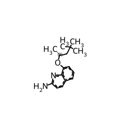 C[C@H](CC(C)(C)C)Oc1cccc2ccc(N)nc12